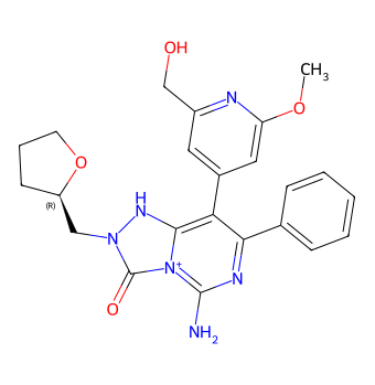 COc1cc(-c2c(-c3ccccc3)nc(N)[n+]3c(=O)n(C[C@H]4CCCO4)[nH]c23)cc(CO)n1